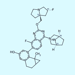 CC12CC1CCc1cc(O)cc(-c3ccc4c(N5C[C@H]6CC[C@@H](C5)N6)nc(OC[C@@]56CCCN5C[C@H](F)C6)nc4c3F)c12